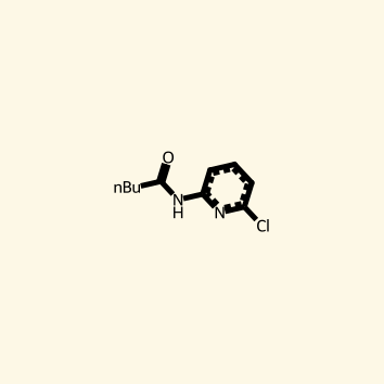 CCCCC(=O)Nc1cccc(Cl)n1